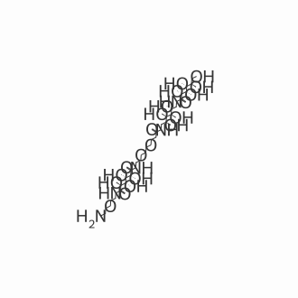 NCCOCCNC(=O)[C@@H](O)[C@@H](O)[C@H](O)[C@@H](O)C(=O)NCCOCCOCCC(=O)NC[C@H](O)[C@@H](O)[C@H](O)[C@H](O)CNC(=O)[C@H](O)[C@@H](O)[C@H](O)[C@H](O)CO